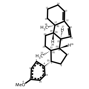 COc1ccc([C@H]2CC[C@H]3[C@@H]4C=CC5=CCCC[C@]5(C)[C@H]4CC[C@]23C)cc1